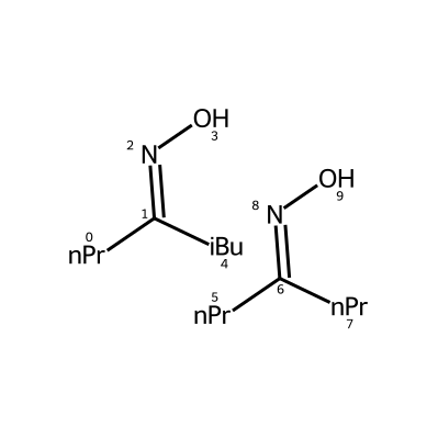 CCCC(=NO)C(C)CC.CCCC(CCC)=NO